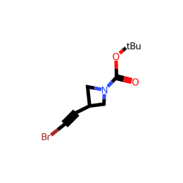 CC(C)(C)OC(=O)N1CC(C#CBr)C1